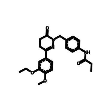 CCOc1cc(C2=NN(Cc3ccc(NC(=O)CC)cc3)C(=O)CC2)ccc1OC